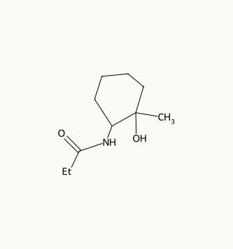 CCC(=O)NC1CCCCC1(C)O